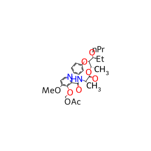 CCCO[C@@H](CC)[C@@H](Oc1ccccc1)[C@H](C)OC(=O)C(C)NC(=O)c1nccc(OC)c1OCOC(C)=O